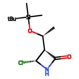 C[C@@H](O[Si](C)(C)C(C)(C)C)[C@@H]1C(=O)N[C@@H]1Cl